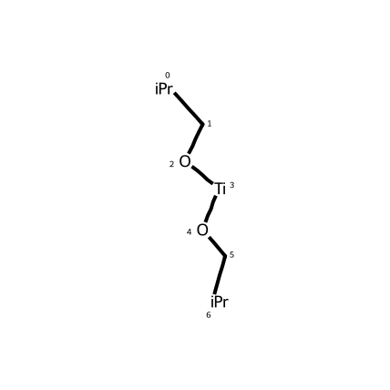 CC(C)C[O][Ti][O]CC(C)C